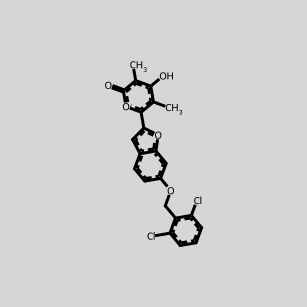 Cc1c(-c2cc3ccc(OCc4c(Cl)cccc4Cl)cc3o2)oc(=O)c(C)c1O